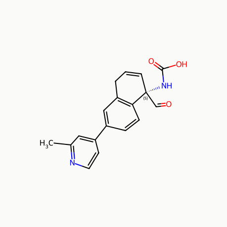 Cc1cc(-c2ccc3c(c2)CC=C[C@]3(C=O)NC(=O)O)ccn1